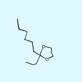 CCCCCCC1(CC)OCCO1